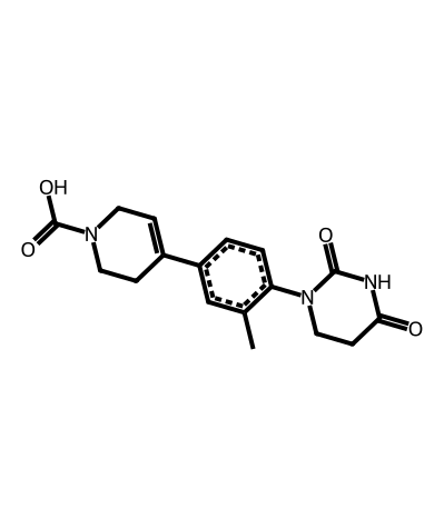 Cc1cc(C2=CCN(C(=O)O)CC2)ccc1N1CCC(=O)NC1=O